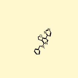 CN(Cc1ccccc1)c1ncc(-c2ccncn2)c2c1CCO2